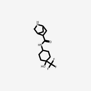 O=C(NC1CCC(O)(C(F)(F)F)CC1)C1CC2CC1CN2